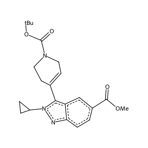 COC(=O)c1ccc2nn(C3CC3)c(C3=CCN(C(=O)OC(C)(C)C)CC3)c2c1